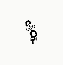 Cc1nc2ccc(S(=O)(=O)N3CCCC3)cc2s1